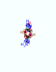 Cc1nc2c(ncn2[C@@H]2O[C@@H]3CO[P@@](=O)(S)O[C@H]4[C@@H](F)[C@H](n5cnc6c(N)ncnc65)O[C@@H]4CO[P@](=O)(S)O[C@H]3[C@H]2F)c(=O)[nH]1